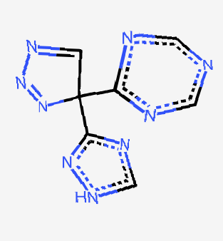 C1=NN=NC1(c1ncncn1)c1nc[nH]n1